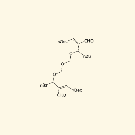 CCCCCCCCCCC=C(C=O)C(CCCC)OCOCOC(CCCC)C(C=O)=CCCCCCCCCCC